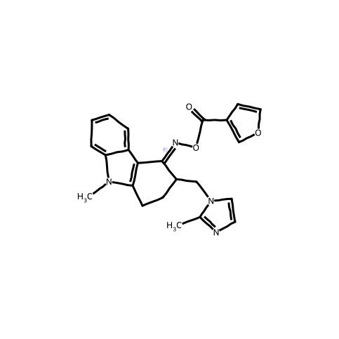 Cc1nccn1CC1CCc2c(c3ccccc3n2C)/C1=N/OC(=O)c1ccoc1